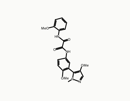 COc1ccccc1NC(=O)C(=O)Nc1ccc(OC)c(-c2c(OC)cnn2C)c1